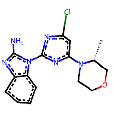 C[C@@H]1COCCN1c1cc(Cl)nc(-n2c(N)nc3ccccc32)n1